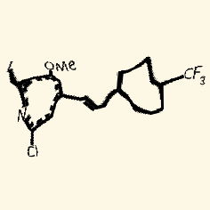 COc1c(/C=C/C2CCC(C(F)(F)F)CC2)cc(Cl)nc1I